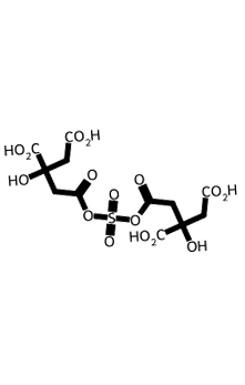 O=C(O)CC(O)(CC(=O)OS(=O)(=O)OC(=O)CC(O)(CC(=O)O)C(=O)O)C(=O)O